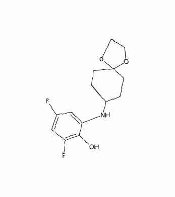 Oc1c(F)cc(F)cc1NC1CCC2(CC1)OCCO2